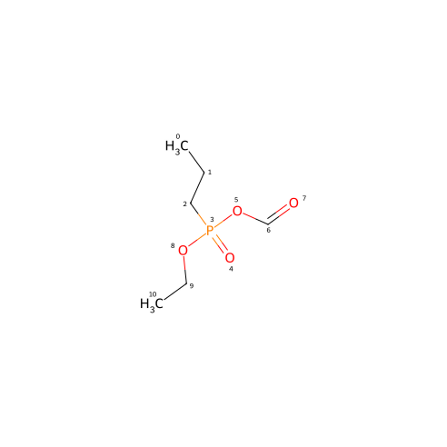 CCCP(=O)(OC=O)OCC